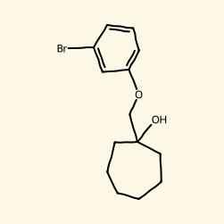 OC1(COc2cccc(Br)c2)CCCCCC1